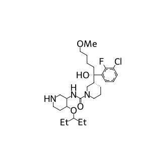 CCC(CC)OC1CCNCC1NC(=O)N1CCC[C@@H]([C@@](O)(CCCCOC)c2cccc(Cl)c2F)C1